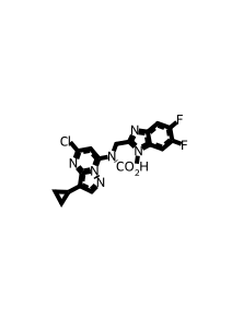 Cn1c(CN(C(=O)O)c2cc(Cl)nc3c(C4CC4)cnn23)nc2cc(F)c(F)cc21